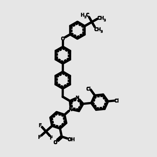 CC(C)(C)c1ccc(Oc2ccc(-c3ccc(Cc4nc(-c5ccc(Cl)cc5Cl)cn4-c4ccc(C(F)(F)F)c(C(=O)O)c4)cc3)cc2)cc1